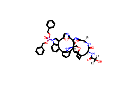 CCC(O)(CC)C(=O)N[C@H]1Cc2ccc3c(c2)[C@]24c5cccc(c5NC2O3)-c2cccc3c2c(cn3P(=O)(OCc2ccccc2)OCc2ccccc2)-c2cnc(o2)-c2nc(oc24)[C@H](C(C)C)NC1=O